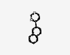 c1ccc2cc(-c3ccncn3)ccc2c1